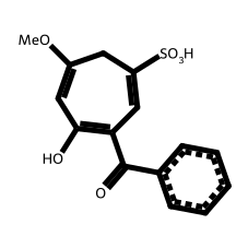 COC1=CC(O)=C(C(=O)c2ccccc2)C=C(S(=O)(=O)O)C1